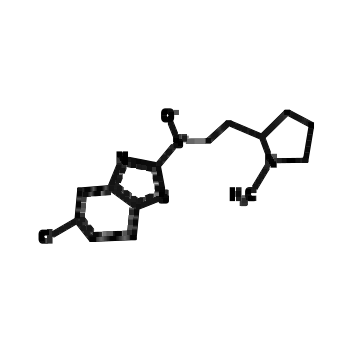 CN1CCCC1CC[S+]([O-])c1nc2cc(Cl)ccc2s1